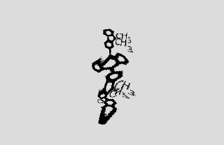 CC1(C)c2ccccc2-c2ccc(-c3c4ccccc4c(-c4ccc5c(c4)-c4ccc6oc7c8ccccc8ccc7c6c4C5(C)C)c4ccccc34)cc21